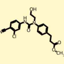 COC(=O)CCc1ccc(N(CCO)C(=O)Nc2ccc(C#N)c(Cl)c2)cc1